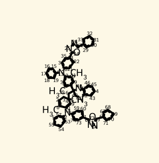 CC1=CCC(C)(CC2(c3cc(C)c(N(c4ccccc4)c4ccc(-c5nnc(-c6ccccc6)o5)cc4)cc3C)CN=c3ccccc3=N2)C=C1N(c1ccccc1)c1ccc(-c2nnc(-c3ccccc3)o2)cc1